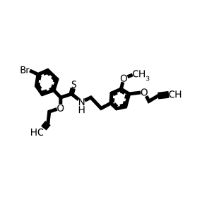 C#CCOc1ccc(CCNC(=S)C(OCC#C)c2ccc(Br)cc2)cc1OC